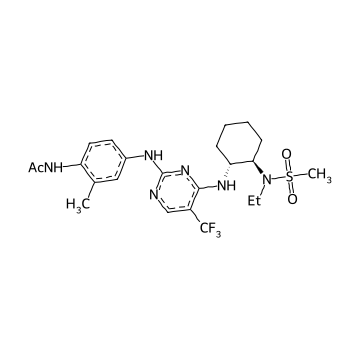 CCN([C@@H]1CCCC[C@H]1Nc1nc(Nc2ccc(NC(C)=O)c(C)c2)ncc1C(F)(F)F)S(C)(=O)=O